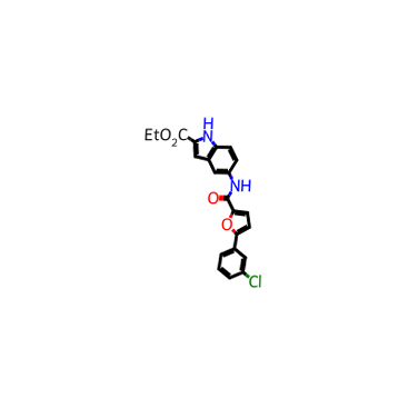 CCOC(=O)c1cc2cc(NC(=O)c3ccc(-c4cccc(Cl)c4)o3)ccc2[nH]1